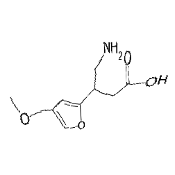 COc1coc(C(CN)CC(=O)O)c1